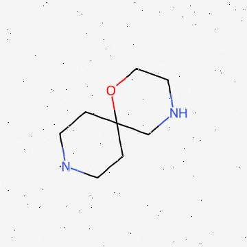 C1CC2(CC[N]1)CNCCO2